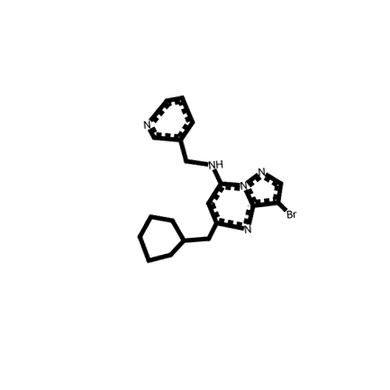 Brc1cnn2c(NCc3cccnc3)cc(CC3CCCCC3)nc12